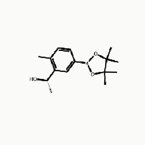 Cc1ccc(B2OC(C)(C)C(C)(C)O2)cc1[C@H](C)O